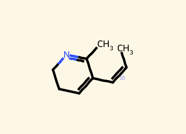 C/C=C\C1=CCCN=C1C